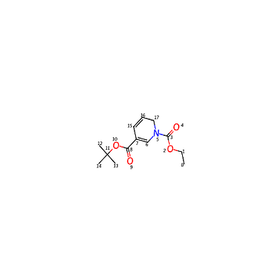 CCOC(=O)N1C=C(C(=O)OC(C)(C)C)C=CC1